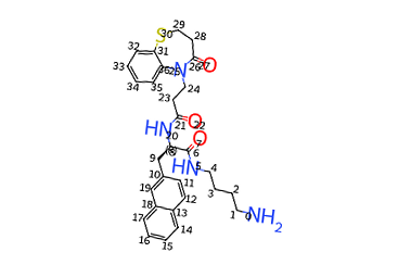 NCCCCNC(=O)[C@@H](Cc1ccc2ccccc2c1)NC(=O)CCN1C(=O)CCSc2ccccc21